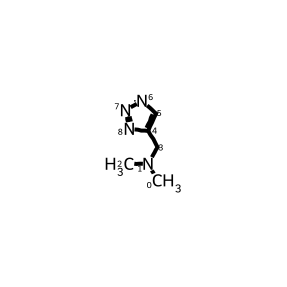 CN(C)CC1=C[N]N=N1